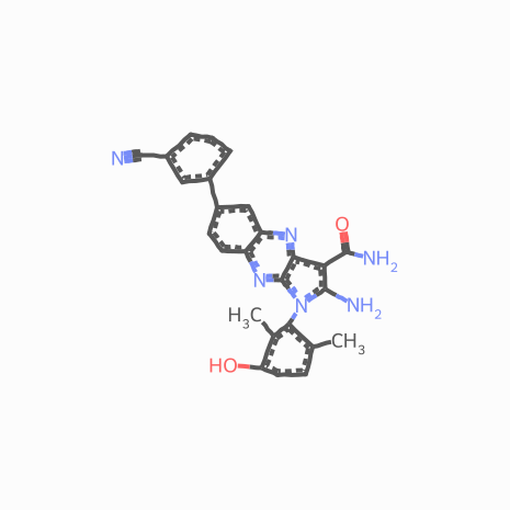 Cc1ccc(O)c(C)c1-n1c(N)c(C(N)=O)c2nc3cc(-c4cccc(C#N)c4)ccc3nc21